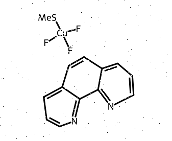 C[S][Cu]([F])([F])[F].c1cnc2c(c1)ccc1cccnc12